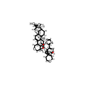 CNC1(CO[C@H]2[C@H](n3ncnc3-c3ccncn3)C[C@@]34COC[C@]2(C)[C@@H]3CC[C@H]2C4=CC[C@]3(C)[C@H](OC(=O)O)[C@@](C)([C@H](C)C(C)C)CC[C@]23C)CCOCC1